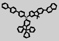 CC1(C)c2cc(-c3ccc4ccccc4c3)ccc2-c2ccc(N(c3ccc(-c4ccc(-c5ccccc5)cc4)cc3)c3ccc4c(c3)-c3ccccc3C4(c3ccccc3)c3ccccc3)cc21